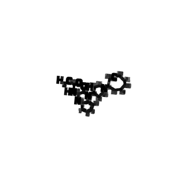 CC(=O)NC1=Nc2ccccc2N(C2CCN(C3CCCCCCC3)CC2)C1O